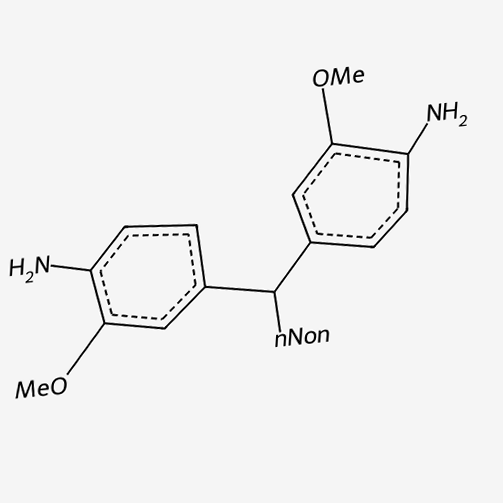 CCCCCCCCCC(c1ccc(N)c(OC)c1)c1ccc(N)c(OC)c1